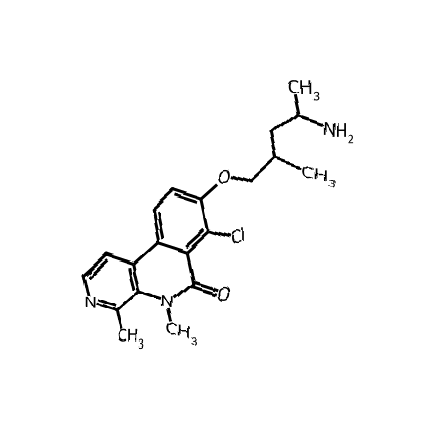 Cc1nccc2c3ccc(OCC(C)CC(C)N)c(Cl)c3c(=O)n(C)c12